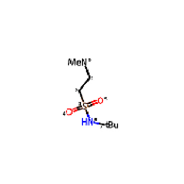 CNCCS(=O)(=O)NC(C)(C)C